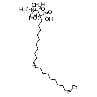 CC/C=C\CCCCCCC/C=C\CCCCCCCCCC(O)(C[N+](C)(C)C)P(=O)(O)O